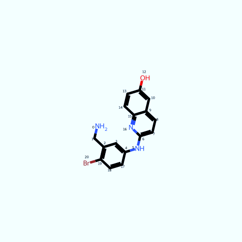 NCc1cc(Nc2ccc3cc(O)ccc3n2)ccc1Br